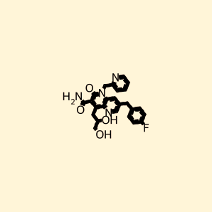 NC(=O)c1c(CC(O)CO)c2ncc(Cc3ccc(F)cc3)cc2n(Cc2ccccn2)c1=O